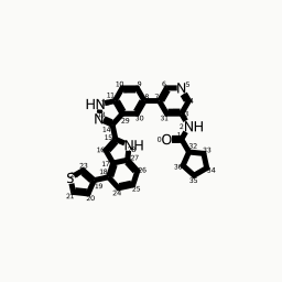 O=C(Nc1cncc(-c2ccc3[nH]nc(-c4cc5c(-c6ccsc6)cccc5[nH]4)c3c2)c1)C1CCCC1